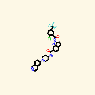 CN(C(=O)c1ccc2c(c1)C(NC(=O)c1cc(C(F)(F)F)ccc1Cl)CC2)C1CCN(c2ccc3cnccc3c2)CC1